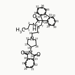 CCCNC(=O)C1(CCCCN2CCC(N3C(=O)c4ccccc4C3=O)CC2)c2ccccc2-c2ccccc21